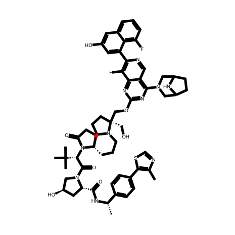 Cc1ncsc1-c1ccc([C@H](C)NC(=O)[C@@H]2C[C@@H](O)CN2C(=O)[C@@H](N2C(=O)CC[C@@H]2CCCN2CCC[C@@]2(CO)COc2nc(N3CC4CCC(C3)N4)c3cnc(-c4cc(O)cc5cccc(F)c45)c(F)c3n2)C(C)(C)C)cc1